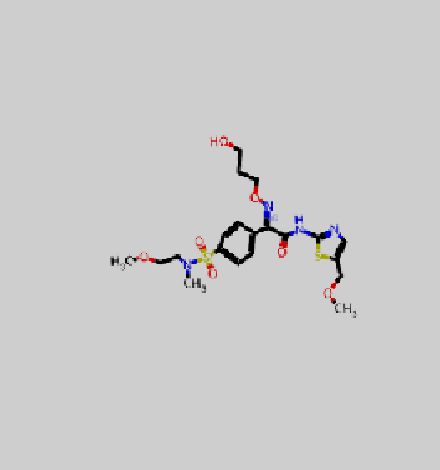 COCCN(C)S(=O)(=O)c1ccc(/C(=N\OCCCO)C(=O)Nc2ncc(COC)s2)cc1